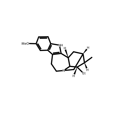 CC[C@@H]1C2[C@H]3C[C@@H](CN2CCc2c3[nH]c3ccc(OC)cc23)[C@@H]1C